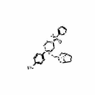 O=S(=O)(c1cccs1)N1CCN(c2ccc(O)cc2)[C@@H](CN2CC3CCC(C2)O3)C1